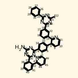 Nc1nc(-c2ccc(-c3cccnc3-c3cccc(-c4nc(I)nc(-c5ccccc5)n4)c3)cc2)nc(-c2ccccc2-c2ccccn2)n1